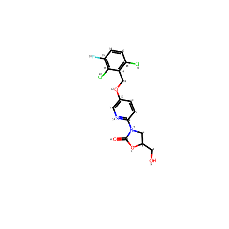 O=C1OC(CO)CN1c1ccc(OCc2c(Cl)ccc(F)c2Cl)cn1